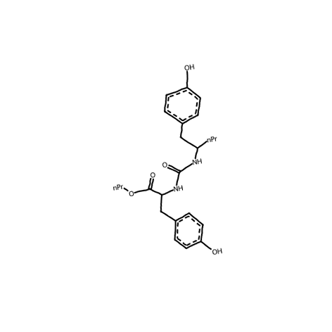 CCCOC(=O)C(Cc1ccc(O)cc1)NC(=O)NC(CCC)Cc1ccc(O)cc1